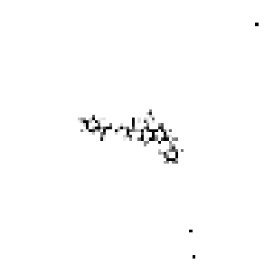 Cc1c(NC(=O)CCCC(=O)c2ccc(F)cc2)ccc2cc(CN3CCCC3)cnc12